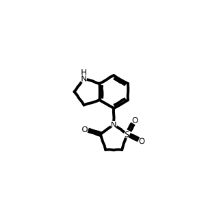 O=C1CCS(=O)(=O)N1c1cccc2c1CCN2